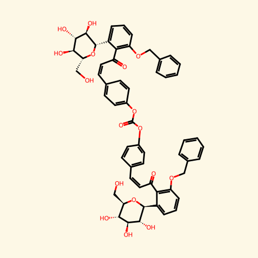 O=C(Oc1ccc(/C=C\C(=O)c2c(OCc3ccccc3)cccc2[C@@H]2O[C@H](CO)[C@@H](O)[C@H](O)[C@H]2O)cc1)Oc1ccc(/C=C\C(=O)c2c(OCc3ccccc3)cccc2[C@@H]2O[C@H](CO)[C@@H](O)[C@H](O)[C@H]2O)cc1